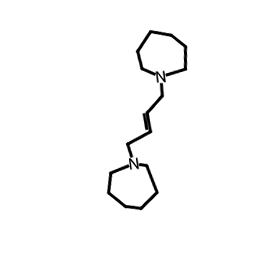 C(=CCN1CCCCCC1)CN1CCCCCC1